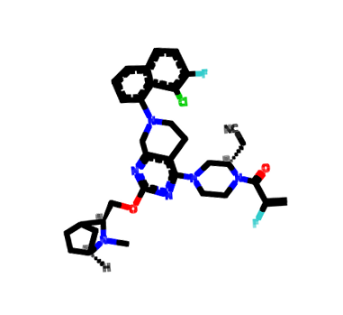 C=C(F)C(=O)N1CCN(c2nc(OC[C@@H]3C4CC[C@@H](C4)N3C)nc3c2CCN(c2cccc4ccc(F)c(Cl)c24)C3)C[C@@H]1CC#N